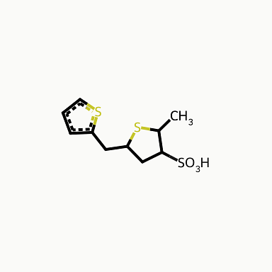 CC1SC(Cc2cccs2)CC1S(=O)(=O)O